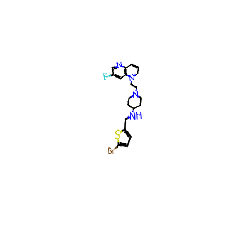 Fc1cnc2c(c1)N(CCN1CCC(NCc3ccc(Br)s3)CC1)CC=C2